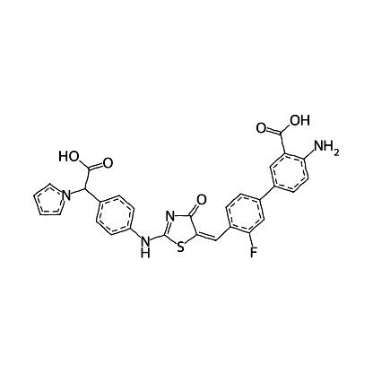 Nc1ccc(-c2ccc(C=C3SC(Nc4ccc(C(C(=O)O)n5cccc5)cc4)=NC3=O)c(F)c2)cc1C(=O)O